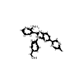 Cc1cnc(-c2ccc3nc(-c4cccnc4N)n(-c4ccc(CO)cc4)c3n2)cn1